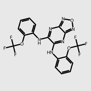 FC(F)(F)Oc1ccccc1Nc1nc2nonc2nc1Nc1ccccc1OC(F)(F)F